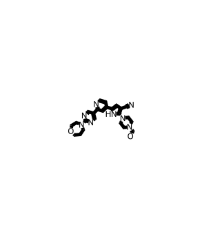 N#Cc1cc(-c2ccnc(-c3cnc(N4CCCOCC4)nc3)c2)[nH]c1N1CCN(C=O)CC1